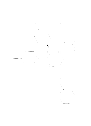 CCC[C@H](C(=O)O)N1C(=O)[C@H](CCN2CCOCC2)O[C@@H](c2ccc(Cl)cc2)[C@H]1c1ccc(Cl)cc1